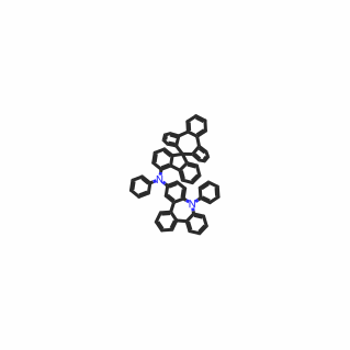 c1ccc(N(c2ccc3c(c2)-c2ccccc2-c2ccccc2N3c2ccccc2)c2cccc3c2-c2ccccc2C32c3ccccc3-c3ccccc3-c3ccccc32)cc1